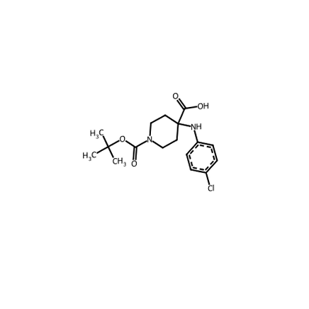 CC(C)(C)OC(=O)N1CCC(Nc2ccc(Cl)cc2)(C(=O)O)CC1